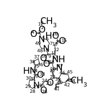 CCOC(=O)N1CCN(C(=O)C(CCC(=O)O)NC(=O)c2cc(OCC(=O)N3CCCC3C(=O)NC3CCC3)c3c(F)cc(C)cc3n2)CC1